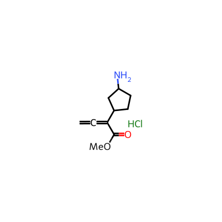 C=C=C(C(=O)OC)C1CCC(N)C1.Cl